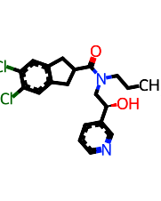 CCCN(C[C@@H](O)c1cccnc1)C(=O)C1Cc2cc(Cl)c(Cl)cc2C1